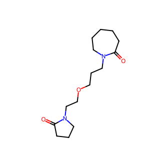 O=C1CCCCCN1CCCOCCN1CCCC1=O